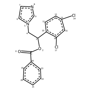 O=C(OC(Cn1ccnc1)c1ccc(Cl)cc1Cl)c1ccccc1